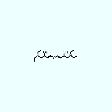 CCN(CC)CC(O)C=COC=CC(O)CN(CC)CC